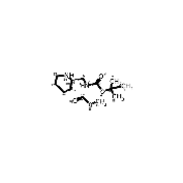 CC(C)(C)OC(=O)NC[C@H]1CCCCN1.COC=O